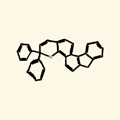 C1=CC(c2ccccc2)(c2ccccc2)Oc2c1ccc1c3c(ccc21)Cc1ccccc1-3